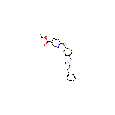 CCOC(=O)c1ccc(Oc2ccc(CNCCc3ccccc3)cc2)nc1